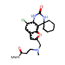 CNC(=O)CCN(C)Cc1cc2cc(Cl)c3c(c2o1)C1(CCCCC1)NC(=O)N3